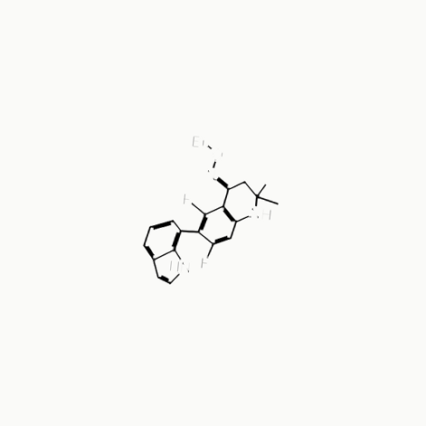 CCO/N=C1\CC(C)(C)Nc2cc(F)c(-c3cccc4cc[nH]c34)c(F)c21